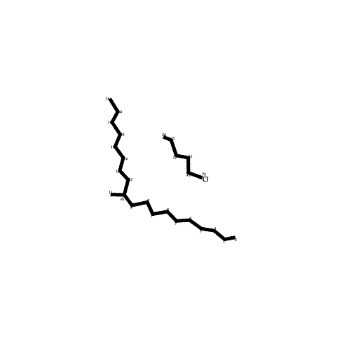 CCCCCCCCCCC(C)CCCCCCCC.CCCCCCl